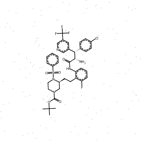 CC(C)(C)OC(=O)N1CCN(S(=O)(=O)c2ccccc2)[C@@H](CCc2c(F)cccc2NC(=O)[C@@H](N)[C@@H](c2ccc(Cl)cc2)c2cncc(C(F)(F)F)c2)C1